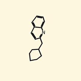 c1ccc2nc(CC3CCCCC3)ccc2c1